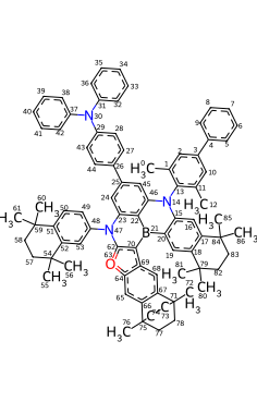 Cc1cc(-c2ccccc2)cc(C)c1N1c2cc3c(cc2B2c4c(cc(-c5ccc(N(c6ccccc6)c6ccccc6)cc5)cc41)N(c1ccc4c(c1)C(C)(C)CCC4(C)C)c1oc4cc5c(cc4c12)C1(C)CCC5(C)CC1)C(C)(C)CCC3(C)C